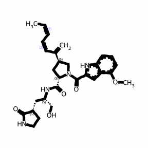 C=C(/C=C\C=C/C)[C@@H]1C[C@@H](C(=O)N[C@H](CO)C[C@@H]2CCNC2=O)N(C(=O)c2cc3c(OC)cccc3[nH]2)C1